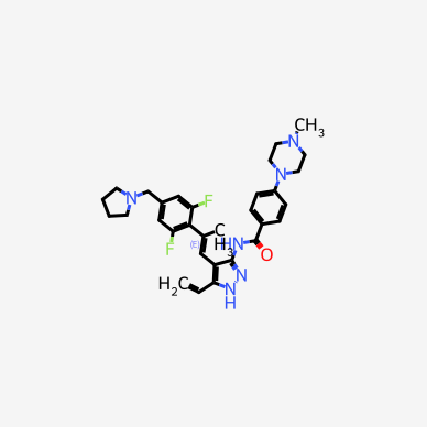 C=Cc1[nH]nc(NC(=O)c2ccc(N3CCN(C)CC3)cc2)c1/C=C(\C)c1c(F)cc(CN2CCCC2)cc1F